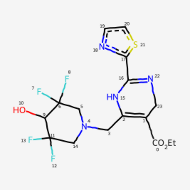 CCOC(=O)C1=C(CN2CC(F)(F)C(O)C(F)(F)C2)NC(c2nccs2)=NC1